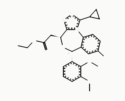 CCOC(=O)C[C@@H]1O[C@@H](c2cccc(OC)c2OC)c2cc(Cl)ccc2-n2c(C3CC3)nnc21